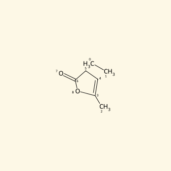 CC.CC1=CCC(=O)O1